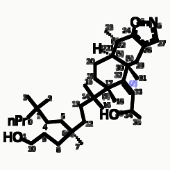 CCCC(C)(C)CC[C@](C)(CCCO)CCC(C)(C)[C@]1(C)CC[C@H]2[C@H](C)c3oncc3C[C@]2(C)/C1=C/C(C)O